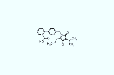 CCCc1c(Cl)n(C(C)C)c(=O)n1Cc1ccc(-c2ccccc2C(=O)O)cc1